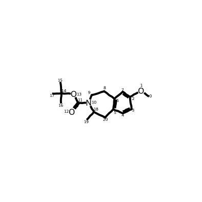 COc1ccc2c(c1)CCN(C(=O)OC(C)(C)C)C(C)C2